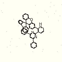 C1=CC(c2nc(-c3ccccc3)cc(-c3ccccc3)n2)=C(c2ccc3c(c2)Oc2ccccc2C32c3ccccc3-c3ccccc32)NC1